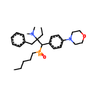 CCCCC[PH](=O)C(c1ccc(N2CCOCC2)cc1)C(CC)(Cc1ccccc1)N(C)C